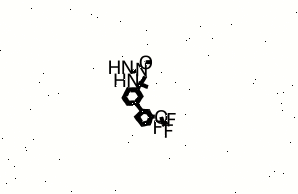 CON1CC(C)(c2cccc(-c3cccc(OC(F)(F)F)c3)c2)NC1=N